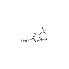 O=Cc1cn2c(n1)[S+]([O-])CC2